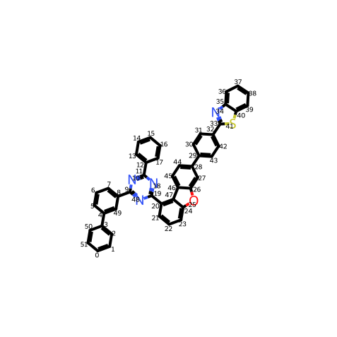 c1ccc(-c2cccc(-c3nc(-c4ccccc4)nc(-c4cccc5oc6cc(-c7ccc(-c8nc9ccccc9s8)cc7)ccc6c45)n3)c2)cc1